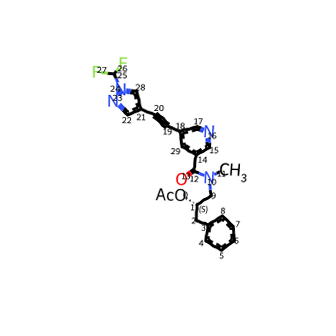 CC(=O)O[C@@H](Cc1ccccc1)CN(C)C(=O)c1cncc(C#Cc2cnn(C(F)F)c2)c1